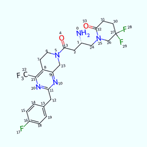 N[C@@H](CC(=O)N1CCc2c(nc(Cc3ccc(F)cc3)nc2C(F)(F)F)C1)CN1CC(F)(F)CCC1=O